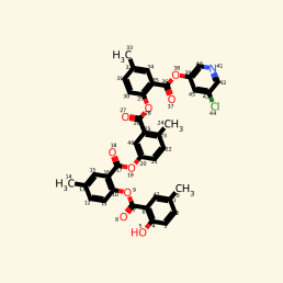 Cc1ccc(O)c(C(=O)Oc2ccc(C)cc2C(=O)Oc2ccc(C)c(C(=O)Oc3ccc(C)cc3C(=O)Oc3cncc(Cl)c3)c2)c1